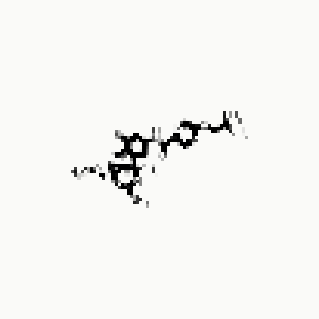 COC[C@]12C[C@H]1[C@@](C)(c1cc(NC(=O)c3cnc(OCC(C)C)cn3)cc(F)c1F)N=C(N)S2